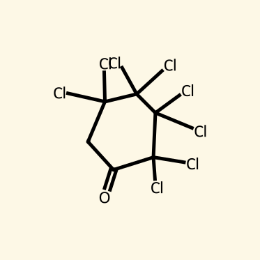 O=C1CC(Cl)(Cl)C(Cl)(Cl)C(Cl)(Cl)C1(Cl)Cl